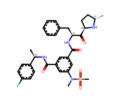 C[C@H]1CC[C@H](C(=O)[C@H](Cc2ccccc2)NC(=O)c2cc(C(=O)N[C@H](C)c3ccc(F)cc3)cc(N(C)S(C)(=O)=O)c2)N1